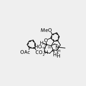 CC(=O)Oc1ccccc1C(=O)O.COc1ccc2c3c1O[C@H]1[C@@H](O)CC[C@H]4[C@@H](C2)N(C)CC[C@@]341